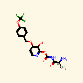 C[C@H](N)C(=O)NC(=O)Oc1nccc(OCc2ccc(OC(F)(F)F)cc2)c1O